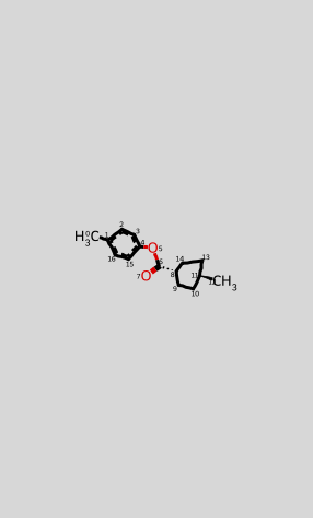 Cc1ccc(OC(=O)[C@H]2CC[C@H](C)CC2)cc1